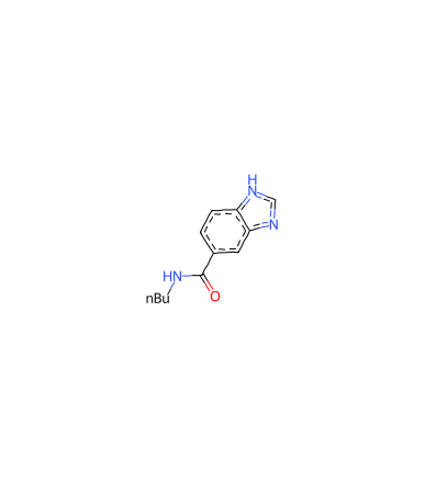 CCCCNC(=O)c1ccc2[nH]cnc2c1